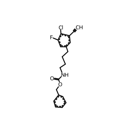 C#Cc1cc(CCCCNC(=O)OCc2ccccc2)cc(F)c1Cl